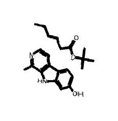 CCCCCC(=O)OC(C)(C)C.Cc1nccc2c1[nH]c1cc(O)ccc12